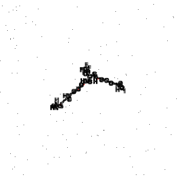 O=C(CCCCCC1SCC2NC(=O)NC21)NCCCOCCOCCOCCCNC(=O)c1cc(C(=O)NCCCOCCOCCOCCCNC(=O)c2ccc(I)cc2)cc(C(=O)Oc2c(F)c(F)cc(F)c2F)c1